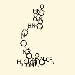 CC(C)(O)c1cc2nc([C@H]3CC[C@@H](CN4CCC(CCNc5cccc6c5C(=O)N(C5CCC(=O)NC5=O)C6)CC4)CC3)sc2cc1NC(=O)c1cccc(C(F)(F)F)n1